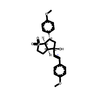 COc1ccc(/C=C/[C@@]2(O)C[C@@H](c3ccc(OC)cc3)[C@H]3[C@@H]2CCS3(=O)=O)cc1